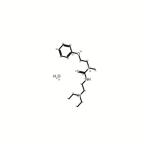 CCN(CC)CCNC(=S)N(C)CCOc1ccccc1.O